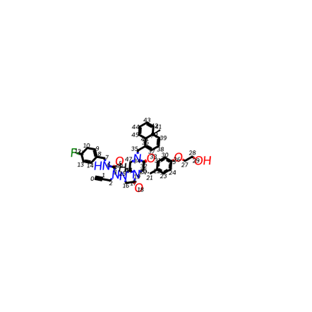 C#CCN(C(=O)NCC1=CCC(F)C=C1)N1CC(=O)N2[C@@H](Cc3ccc(OCCO)cc3)C(=O)N(CC3=CC=C[C@@]4(C)C=CC=CC34)C[C@@H]21